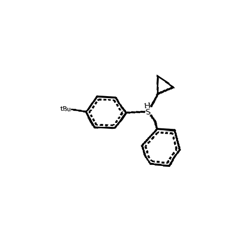 CC(C)(C)c1ccc([SH](c2ccccc2)C2CC2)cc1